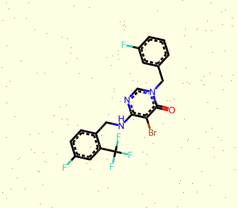 O=c1c(Br)c(NCc2ccc(F)cc2C(F)(F)F)ncn1Cc1cccc(F)c1